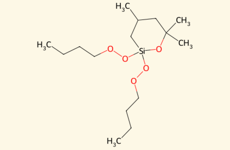 CCCCOO[Si]1(OOCCCC)CC(C)CC(C)(C)O1